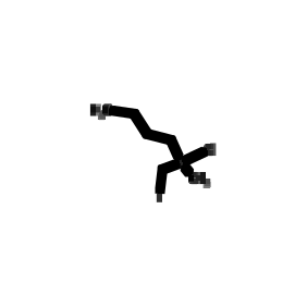 CCCCS(C)(Cl)CI